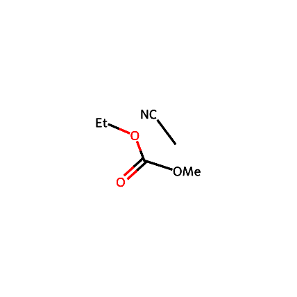 CC#N.CCOC(=O)OC